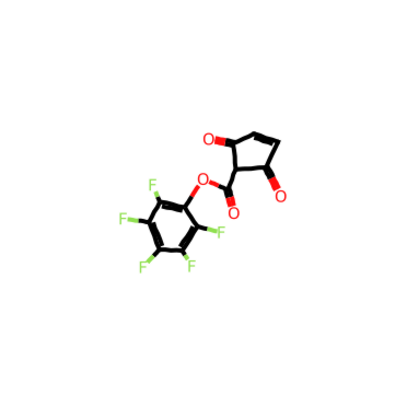 O=C1C=CC(=O)C1C(=O)Oc1c(F)c(F)c(F)c(F)c1F